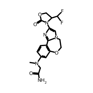 CN(CC(N)=O)c1ccc2c(c1)OCCn1cc(N3C(=O)OCC3C(F)F)nc1-2